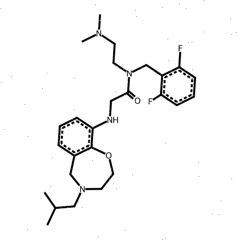 CC(C)CN1CCOc2c(cccc2NCC(=O)N(CCN(C)C)Cc2c(F)cccc2F)C1